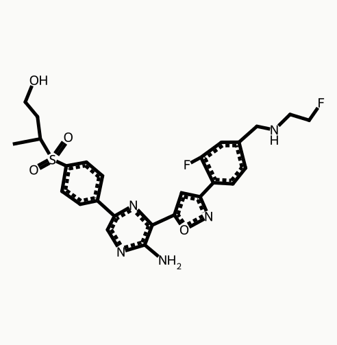 CC(CCO)S(=O)(=O)c1ccc(-c2cnc(N)c(-c3cc(-c4ccc(CNCCF)cc4F)no3)n2)cc1